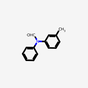 Cc1cccc(N([C]=O)c2ccccc2)c1